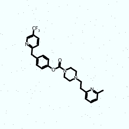 Cc1cccc(CCN2CCN(C(=O)Oc3ccc(Cc4ccc(C(F)(F)F)cn4)cc3)CC2)n1